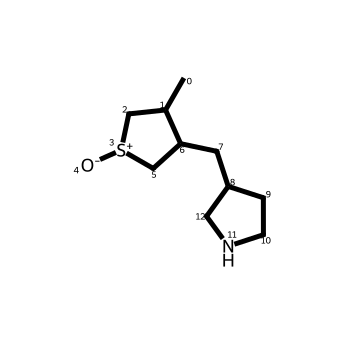 CC1C[S+]([O-])CC1CC1CCNC1